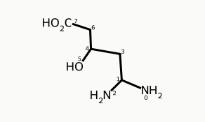 NC(N)CC(O)CC(=O)O